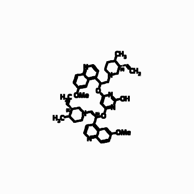 C=C[C@@H]1CN(CC(Oc2cc(O[C@H](CN3CCC(C)[C@@H](C=C)C3)c3ccnc4ccc(OC)cc34)nc(O)n2)c2ccnc3ccc(OC)cc23)CCC1C